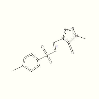 Cc1ccc(S(=O)(=O)/C=C/n2nnn(C)c2=O)cc1